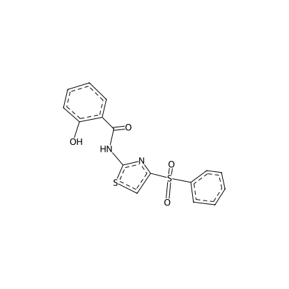 O=C(Nc1nc(S(=O)(=O)c2ccccc2)cs1)c1ccccc1O